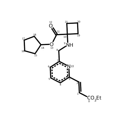 CCOC(=O)C=Cc1cccc(CNC2(C(=O)OC3CCCC3)CCC2)n1